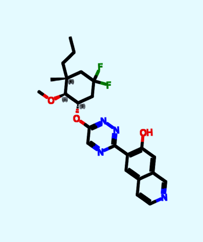 CCC[C@]1(C)CC(F)(F)C[C@H](Oc2cnc(-c3cc4ccncc4cc3O)nn2)[C@H]1OC